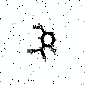 COc1cc[n+]([O-])c(C(N)=O)c1